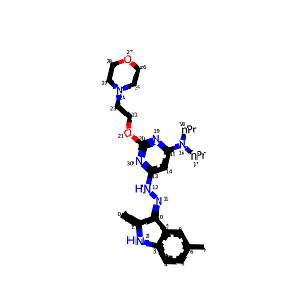 C=C1Nc2ccc(C)cc2/C1=N/Nc1cc(N(CCC)CCC)nc(OCCN2CCOCC2)n1